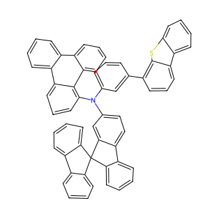 c1cc(-c2cccc3c2sc2ccccc23)cc(N(c2ccc3c(c2)C2(c4ccccc4-c4ccccc42)c2ccccc2-3)c2cccc3c4ccccc4c4ccccc4c23)c1